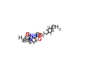 CCC(C)/C(C(=O)OC/C=C/c1ccc(C)cc1)=C(/CC(C)C)C1=NC(C)(C(C)CC)C(=O)N1